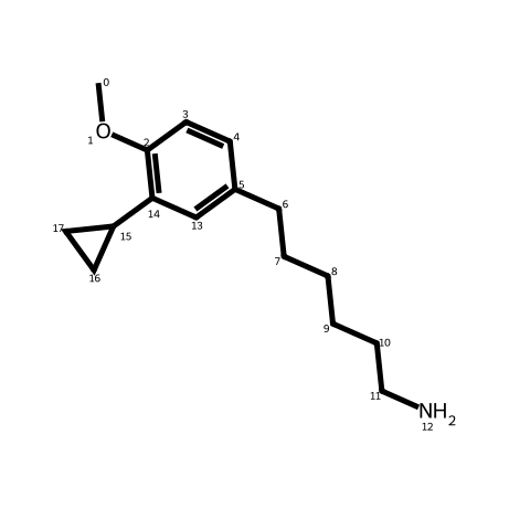 COc1ccc(CCCCCCN)cc1C1CC1